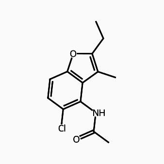 CCc1oc2ccc(Cl)c(NC(C)=O)c2c1C